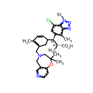 CCn1nnc2c(C)c([C@H](C3C=CC(C)=C(CN4Cc5cnccc5OC(C)(C)C4)C3)[C@@H](C)C(=O)O)cc(Cl)c21